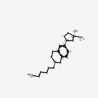 BCCCCC[C@H]1CCc2cc([C@H]3CC[C@](N)(CC)C3)ccc2C1